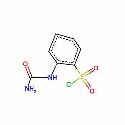 NC(=O)Nc1ccccc1S(=O)(=O)Cl